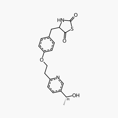 C[C@@H](O)c1ccc(CCOc2ccc(CC3NC(=O)SC3=O)cc2)nc1